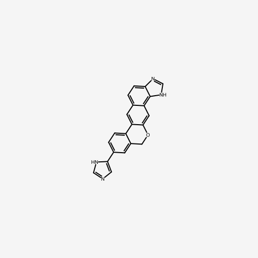 c1ncc(-c2ccc3c(c2)COc2cc4c(ccc5nc[nH]c54)cc2-3)[nH]1